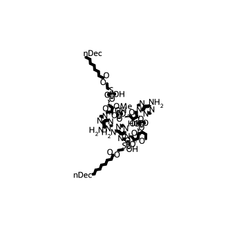 CCCCCCCCCCCCCCCCCC(=O)OCCSP(=O)(O)OC[C@H]1O[C@@H](n2cnc3c(N)ncnc32)[C@@H](OP(=O)(O)OC[C@H]2O[C@@H](n3cnc4c(N)ncnc43)[C@@H](OP(=O)(O)OC[C@]34CCCOC3[C@H](OP(=O)(O)SCCOC(=O)CCCCCCCCCCCCCCCCC)[C@H](n3cnc5c(N)ncnc53)O4)C2O)C1OC